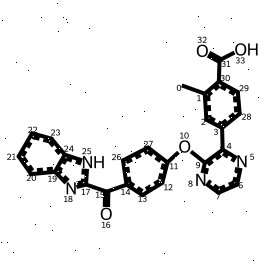 Cc1cc(-c2nccnc2Oc2ccc(C(=O)c3nc4ccccc4[nH]3)cc2)ccc1C(=O)O